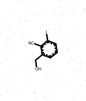 N#Cc1c(I)cccc1CO